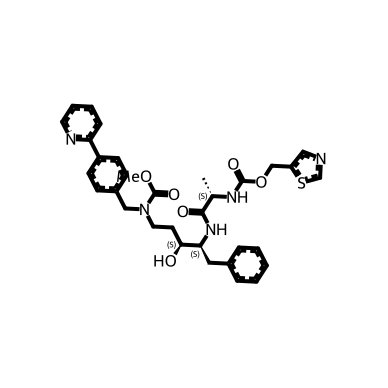 COC(=O)N(CC[C@H](O)[C@H](Cc1ccccc1)NC(=O)[C@H](C)NC(=O)OCc1cncs1)Cc1ccc(-c2ccccn2)cc1